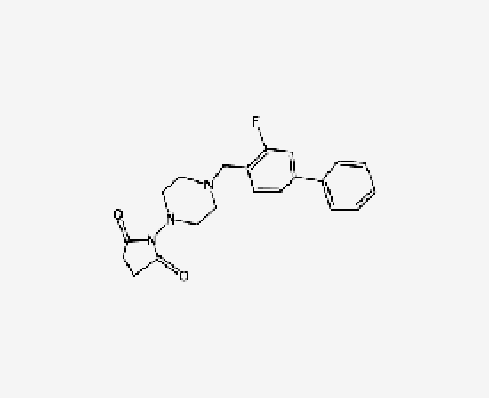 O=C1CCC(=O)N1N1CCN(Cc2ccc(-c3ccccc3)cc2F)CC1